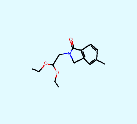 CCOC(CN1Cc2cc(C)ccc2C1=O)OCC